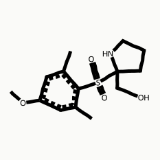 COc1cc(C)c(S(=O)(=O)C2(CO)CCCN2)c(C)c1